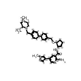 CC1CN(C)CCN1Cc1ccc(-c2ccc(CO[C@H]3CCC[C@@H]3NC(=O)c3cc(-c4cnn(C)c4)cnc3N)cc2)cc1